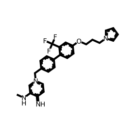 CNc1cn(Cc2ccc(-c3ccc(OCCCn4cccc4)cc3C(F)(F)F)cc2)ccc1=N